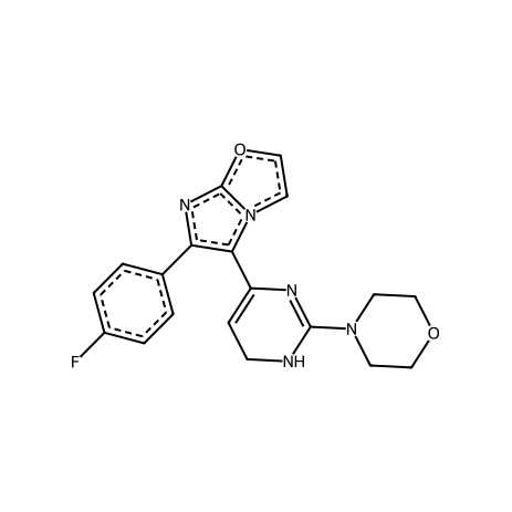 Fc1ccc(-c2nc3occn3c2C2=CCNC(N3CCOCC3)=N2)cc1